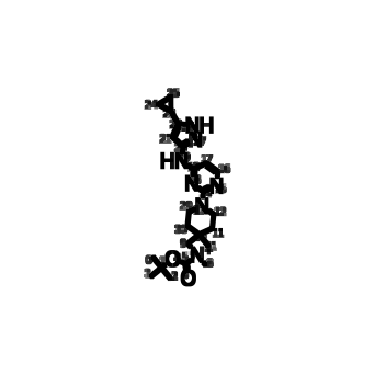 CC(C)(C)OC(=O)[N+]1(C)CC2(CCN(c3nccc(Nc4cc(C5CC5)[nH]n4)n3)CC2)C1